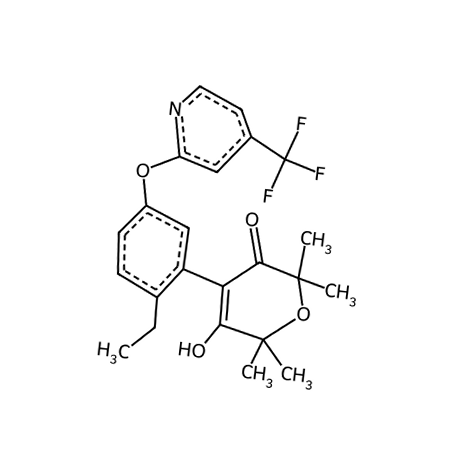 CCc1ccc(Oc2cc(C(F)(F)F)ccn2)cc1C1=C(O)C(C)(C)OC(C)(C)C1=O